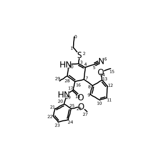 CCSC1=C(C#N)C(c2ccccc2OC)C(C(=O)Nc2ccccc2OC)=C(C)N1